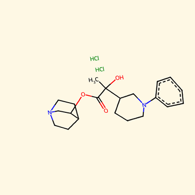 CC(O)(C(=O)OC1CN2CCC1CC2)C1CCCN(c2ccccc2)C1.Cl.Cl